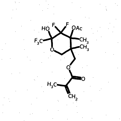 C=C(C)C(=O)OCC1(C)COC(O)(C(F)(F)F)C(F)(F)C1(C)OC(C)=O